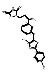 C/C(=C/Cn1oc(=O)[nH]c1=O)c1cccc(Cc2nc(-c3ccc(C(F)(F)F)cc3)oc2C)c1